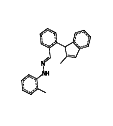 CC1=Cc2ccccc2C1c1ccccc1/C=N/Nc1ccccc1C